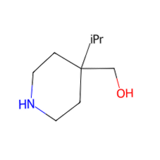 CC(C)C1(CO)CCNCC1